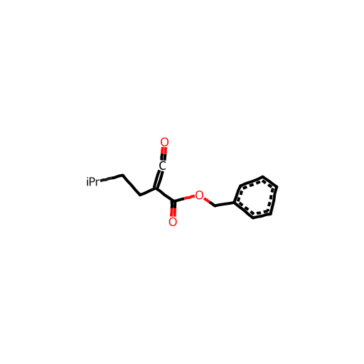 CC(C)CCC(=C=O)C(=O)OCc1ccccc1